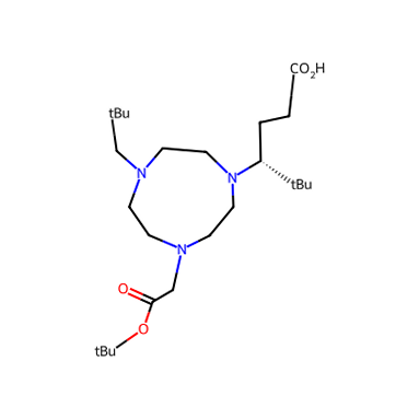 CC(C)(C)CN1CCN(CC(=O)OC(C)(C)C)CCN([C@H](CCC(=O)O)C(C)(C)C)CC1